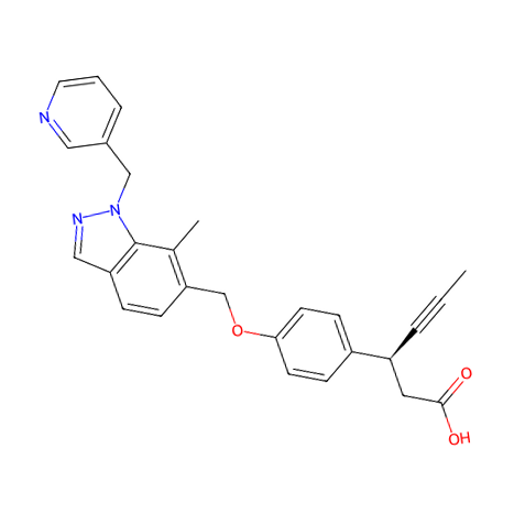 CC#C[C@@H](CC(=O)O)c1ccc(OCc2ccc3cnn(Cc4cccnc4)c3c2C)cc1